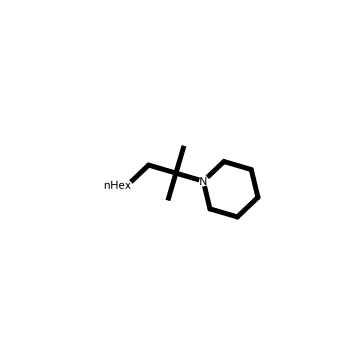 CCCCCCCC(C)(C)N1CCCCC1